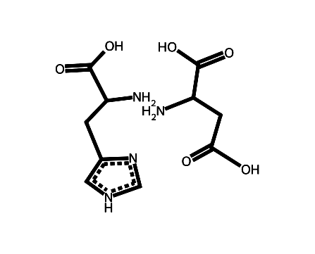 NC(CC(=O)O)C(=O)O.NC(Cc1c[nH]cn1)C(=O)O